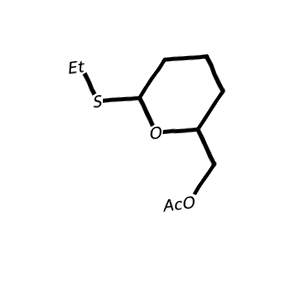 CCSC1CCCC(COC(C)=O)O1